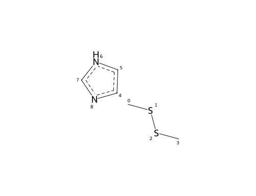 CSSC.c1c[nH]cn1